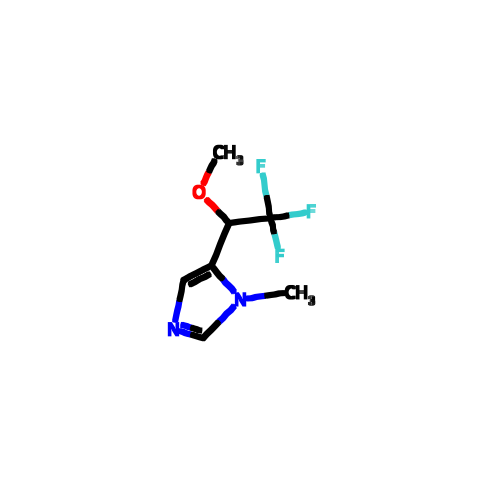 COC(c1cncn1C)C(F)(F)F